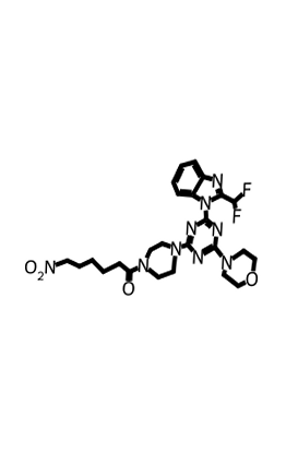 O=C(CCCCC[N+](=O)[O-])N1CCN(c2nc(N3CCOCC3)nc(-n3c(C(F)F)nc4ccccc43)n2)CC1